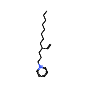 C=CC(CCCCCCCC)CCC[n+]1ccccc1